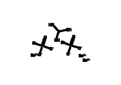 O=P([O-])([O-])[O-].O=P([O-])([O-])[O-].OB(O)O.[Ba+2].[Ba+2].[Ba+2]